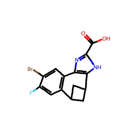 O=C(O)c1nc2c([nH]1)C1CC(C1)c1cc(F)c(Br)cc1-2